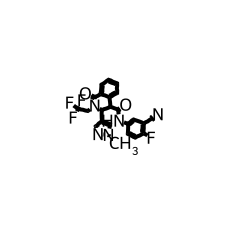 Cn1cc(C2C(C(=O)Nc3ccc(F)c(C#N)c3)c3ccccc3C(=O)N2CC(F)(F)F)cn1